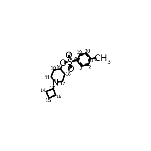 Cc1ccc(S(=O)(=O)OC2CCN(C3CCC3)CC2)cc1